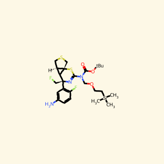 CC(C)(C)OC(=O)N(COCC[Si](C)(C)C)C1=N[C@](CF)(c2cc(N)ccc2F)C2[C@H]3CSC[C@@]23S1